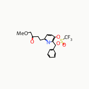 COCC(=O)CCc1ccc(OS(=O)(=O)C(F)(F)F)c(Cc2ccccc2)n1